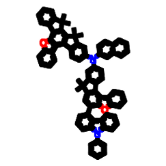 CC1(C)c2cc(N(c3ccc4c(c3)C(C)(C)c3c5c(c6oc7ccccc7c6c3-4)-c3ccccc3C5(C)C)c3ccc4ccccc4c3)ccc2-c2c1cc(-c1cccc3c1c1ccccc1n3-c1ccccc1)c1oc3ccccc3c21